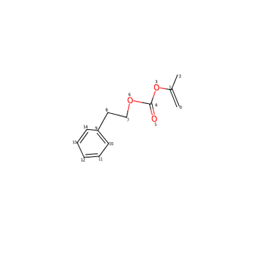 C=C(C)OC(=O)OCCc1ccccc1